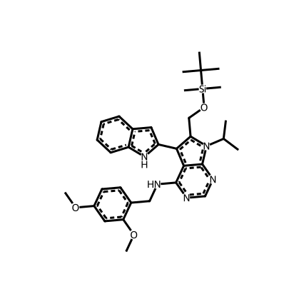 COc1ccc(CNc2ncnc3c2c(-c2cc4ccccc4[nH]2)c(CO[Si](C)(C)C(C)(C)C)n3C(C)C)c(OC)c1